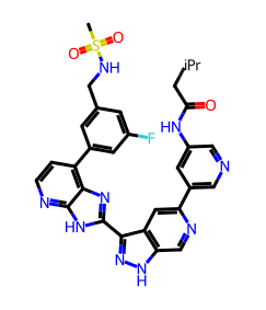 CC(C)CC(=O)Nc1cncc(-c2cc3c(-c4nc5c(-c6cc(F)cc(CNS(C)(=O)=O)c6)ccnc5[nH]4)n[nH]c3cn2)c1